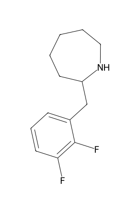 Fc1cccc(CC2CCCCCN2)c1F